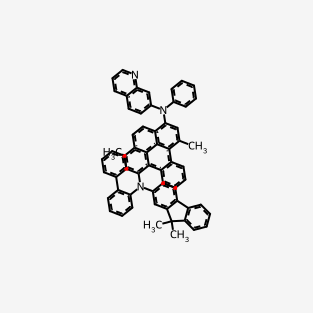 Cc1cc(N(c2ccc3c(c2)C(C)(C)c2ccccc2-3)c2ccccc2-c2ccccc2)c2c3ccccc3c3c(C)cc(N(c4ccccc4)c4ccc5cccnc5c4)c4ccc1c2c43